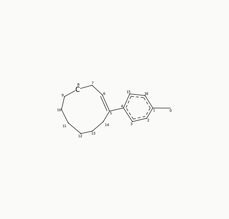 Cc1ccc(C2=CCCCCCCCC2)cc1